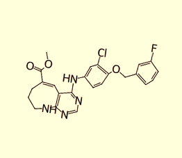 COC(=O)/C1=C/c2c(ncnc2Nc2ccc(OCc3cccc(F)c3)c(Cl)c2)NCCC1